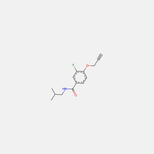 C#CCOc1ccc(C(=O)NCC(C)C)cc1F